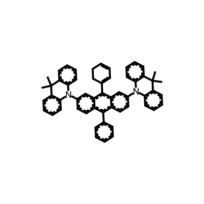 CC1(C)c2ccccc2N(c2ccc3c(-c4ccccc4)c4ccc(N5c6ccccc6C(C)(C)c6ccccc65)cc4c(C4=CC=CCC4)c3c2)c2ccccc21